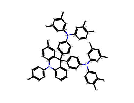 Cc1ccc(N2c3ccccc3C(c3ccc(N(c4cc(C)cc(C)c4)c4ccc(C)c(C)c4)cc3)(c3ccc(N(c4cc(C)cc(C)c4)c4ccc(C)c(C)c4)cc3)c3cc(C)ccc32)cc1